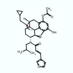 CC(=O)Oc1cc(O)c2c3c1C[C@@H]1[C@@H]4CC[C@@H](N(CC(C)C)C(=O)C=Cc5ccoc5)[C@@H](O2)[C@]34CCN1CC1CC1